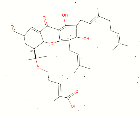 CC(C)=CCC/C(C)=C/Cc1c(O)c(CC=C(C)C)c2c(c1O)C(=O)C1=CC(C=O)C[C@H](C(C)(C)OCC/C=C(\C)C(=O)O)C1O2